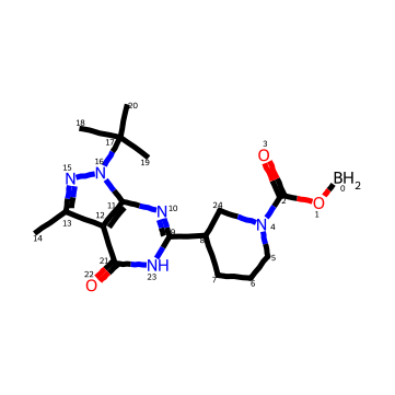 BOC(=O)N1CCCC(c2nc3c(c(C)nn3C(C)(C)C)c(=O)[nH]2)C1